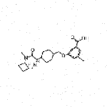 Cc1cc(OCC2CCC([C@H](N)C(=O)N(C)C3CCC3)CC2)cc(C(=O)O)c1